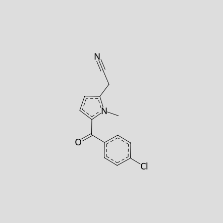 Cn1c(CC#N)ccc1C(=O)c1ccc(Cl)cc1